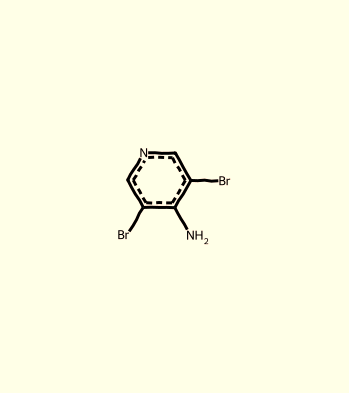 Nc1c(Br)cncc1Br